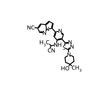 CC(C#N)Nc1cc(-c2ccc3cc(C#N)cnn23)ncc1-c1nnc(N2CCC(C)(O)CC2)s1